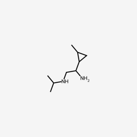 CC(C)NCC(N)C1CC1C